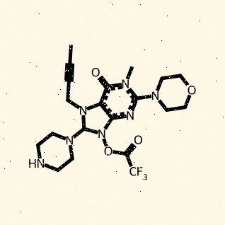 CC#CCN1c2c(nc(N3CCOCC3)n(C)c2=O)N(OC(=O)C(F)(F)F)C1N1CCNCC1